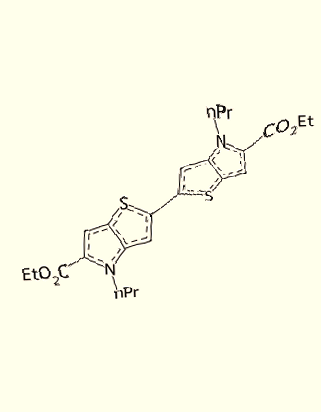 CCCn1c(C(=O)OCC)cc2sc(-c3cc4c(cc(C(=O)OCC)n4CCC)s3)cc21